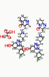 Cc1nc2ccccn2c(=O)c1CCN1CCC(Cc2nc3cc(O)ccc3n2Cc2ccc(F)cc2)CC1.Cc1nc2ccccn2c(=O)c1CCN1CCC(Cc2nc3cc(O)ccc3n2Cc2ccc(F)cc2)CC1.O=C(O)C(=O)O